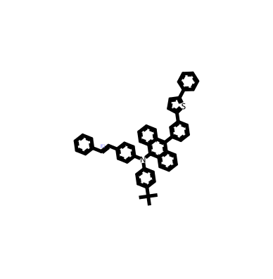 CC(C)(C)c1ccc(N(c2ccc(/C=C/c3ccccc3)cc2)c2c3ccccc3c(-c3cccc(-c4ccc(-c5ccccc5)s4)c3)c3ccccc23)cc1